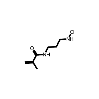 C=C(C)C(=O)NCCCNCl